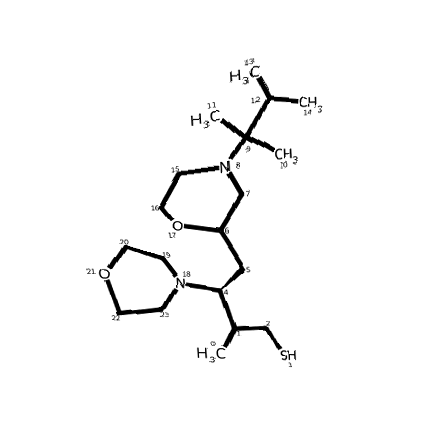 CC(CS)[C@H](CC1CN(C(C)(C)C(C)C)CCO1)N1CCOCC1